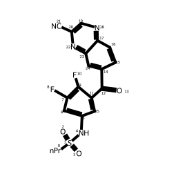 CCCS(=O)(=O)Nc1cc(F)c(F)c(C(=O)c2ccc3ncc(C#N)nc3c2)c1